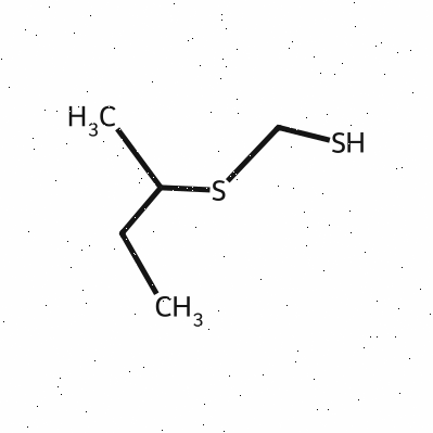 CCC(C)SCS